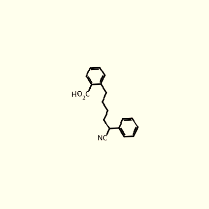 N#CC(CCCCc1ccccc1C(=O)O)c1ccccc1